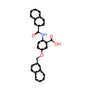 O=C(Nc1ccc(OCc2ccc3ccccc3c2)cc1C(=O)O)c1ccc2ccccc2c1